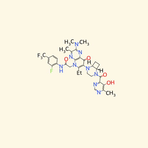 CCc1c(N2CCN(C(=O)c3ncnc(C)c3O)[C@H]3CC[C@@H]32)c(=O)c2nc(N(C)C)c(C)nc2n1CC(=O)Nc1ccc(C(F)(F)F)cc1F